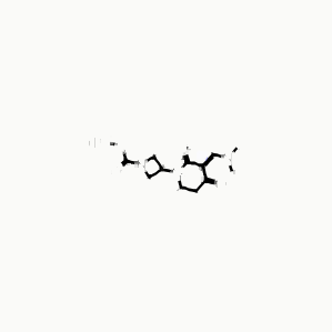 CN(C)/C=C1\C(=O)CCN(C2CN(C(=O)OC(C)(C)C)C2)C1=O